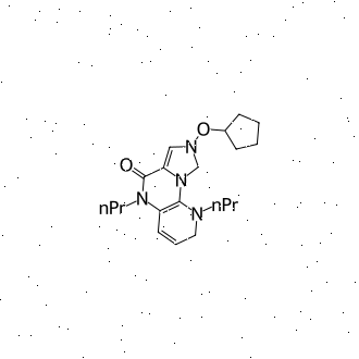 CCCN1CC=CC2=C1N1CN(OC3CCCC3)C=C1C(=O)N2CCC